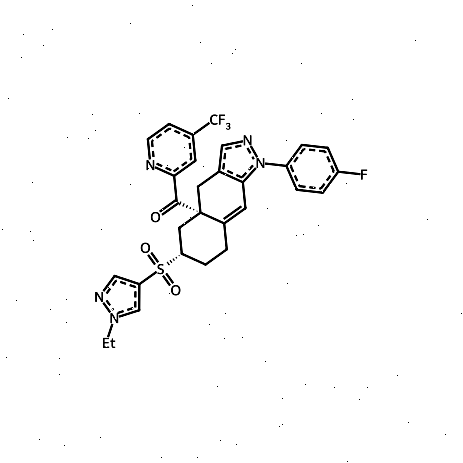 CCn1cc(S(=O)(=O)[C@H]2CCC3=Cc4c(cnn4-c4ccc(F)cc4)C[C@]3(C(=O)c3cc(C(F)(F)F)ccn3)C2)cn1